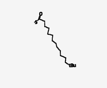 CC(C)(C)CCCCCCCCCCCCC(=O)[S]